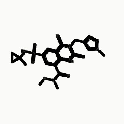 CON(C)C(=O)c1cc(S(=O)(=O)NC2(C)CC2)cc2c(=O)n(Cc3cnn(C)c3)c(=O)[nH]c12